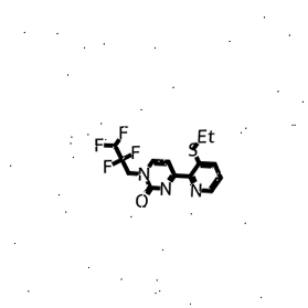 CCSc1cccnc1-c1ccn(CC(F)(F)C(F)F)c(=O)n1